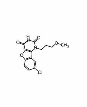 COCCCn1c(=O)[nH]c(=O)c2oc3ccc(Cl)cc3c21